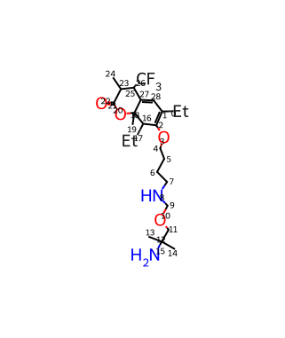 CCC1=C(OCCCCNCOCC(C)(C)N)C(CC)C2(C)OC(=O)C(C)C(C(F)(F)F)C2=C1